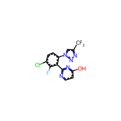 Oc1ccnc(-c2c(-n3cc(C(F)(F)F)nn3)ccc(Cl)c2F)n1